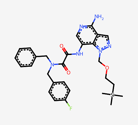 C[Si](C)(C)CCOCn1ncc2c(N)ncc(NC(=O)C(=O)N(Cc3ccccc3)Cc3ccc(F)cc3)c21